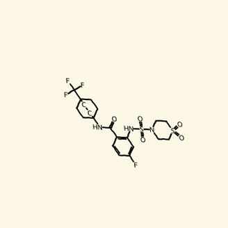 O=C(NC12CCC(C(F)(F)F)(CC1)CC2)c1ccc(F)cc1NS(=O)(=O)N1CCS(=O)(=O)CC1